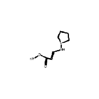 CCCOC(=O)C=CNN1CCCC1